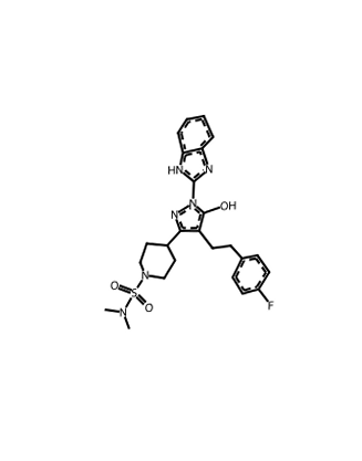 CN(C)S(=O)(=O)N1CCC(c2nn(-c3nc4ccccc4[nH]3)c(O)c2CCc2ccc(F)cc2)CC1